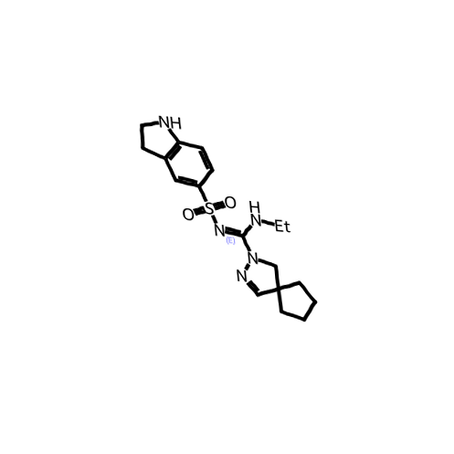 CCN/C(=N\S(=O)(=O)c1ccc2c(c1)CCN2)N1CC2(C=N1)CCCC2